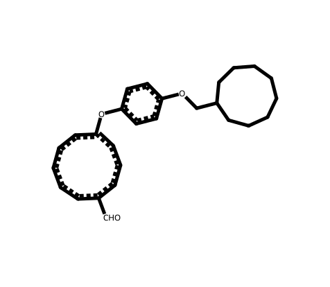 O=Cc1cccccc(Oc2ccc(OCC3CCCCCCCC3)cc2)ccc1